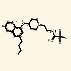 CCCCc1cc(OC2CCN(CCNC(=O)C(C)(C)C)CC2)c2ncccc2c1